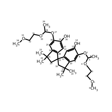 COCCOC(C)Oc1cc2c(cc1O)C1(CC2(C)C)CC(C)(C)c2cc(OC(C)OCCOC)c(O)cc21